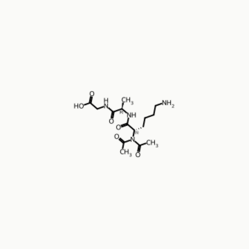 CC(=O)N(C(C)=O)[C@@H](CCCCN)C(=O)N[C@H](C)C(=O)NCC(=O)O